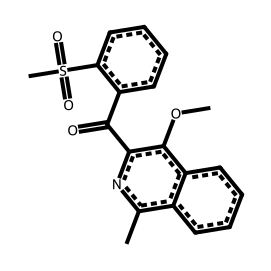 COc1c(C(=O)c2ccccc2S(C)(=O)=O)nc(C)c2ccccc12